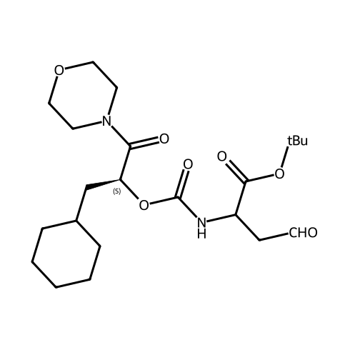 CC(C)(C)OC(=O)C(CC=O)NC(=O)O[C@@H](CC1CCCCC1)C(=O)N1CCOCC1